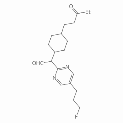 CCC(=O)CCC1CCC(C(C=O)c2ncc(CCCF)cn2)CC1